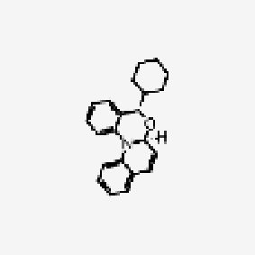 C1=C[C@@H]2O[C@H](C3CCCCC3)c3ccccc3N2c2ccccc21